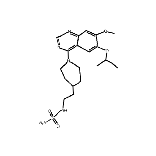 COc1cc2ncnc(N3CCC(CCNS(N)(=O)=O)CC3)c2cc1OC(C)C